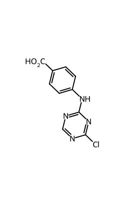 O=C(O)c1ccc(Nc2ncnc(Cl)n2)cc1